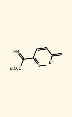 C=C(Br)/C=C\C(=N/C)C(=N)C(=O)OCC